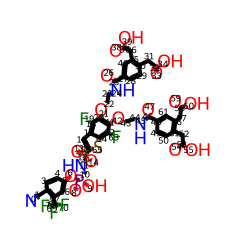 N#Cc1ccc(OP(=O)(O)CNS(=O)(=O)c2cc3c(F)c(OCCNC(=O)c4ccc(CC(=O)O)c(CC(=O)O)c4)c(OCCNC(=O)c4ccc(CC(=O)O)c(CC(=O)O)c4)c(F)c3s2)cc1C(F)(F)F